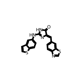 O=C1NC(Nc2ccc3sccc3c2)=N/C1=C\c1ccc2ncsc2c1